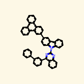 c1ccc(-c2cccc(-c3nc(-n4c5ccccc5c5cc(-c6ccc7c8ccccc8c8ccccc8c7c6)ccc54)nc4ccccc34)c2)cc1